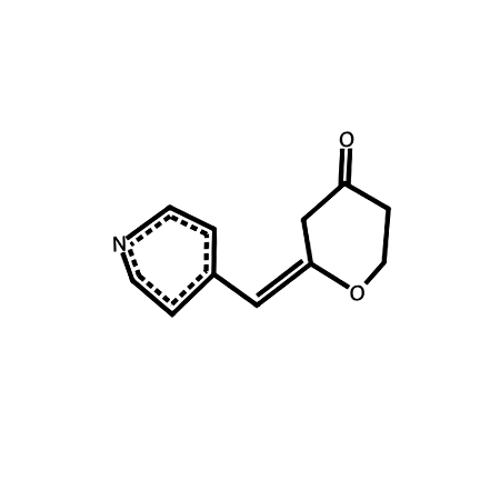 O=C1CCOC(=Cc2ccncc2)C1